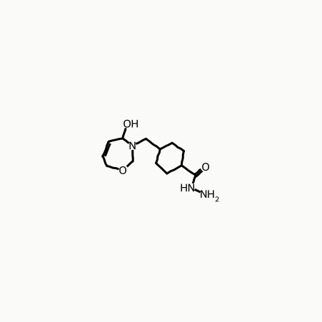 NNC(=O)C1CCC(CN2COCC=CC2O)CC1